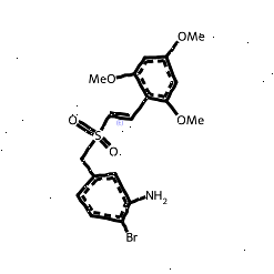 COc1cc(OC)c(/C=C/S(=O)(=O)Cc2ccc(Br)c(N)c2)c(OC)c1